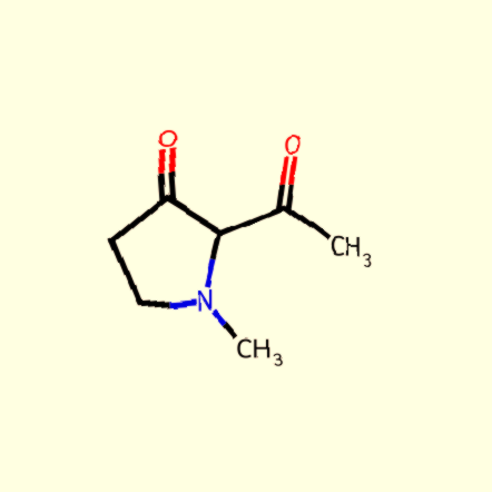 CC(=O)C1C(=O)CCN1C